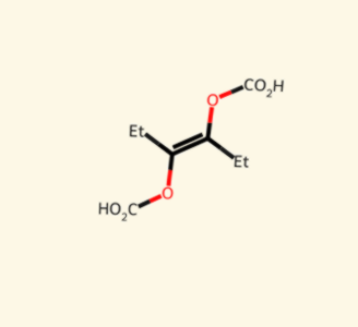 CC/C(OC(=O)O)=C(/CC)OC(=O)O